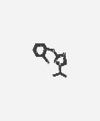 CC(C)n1cnc(Oc2ccccc2F)n1